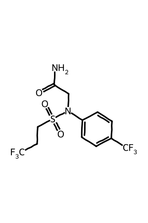 NC(=O)CN(c1ccc(C(F)(F)F)cc1)S(=O)(=O)CCC(F)(F)F